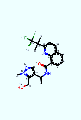 CC(NC(=O)c1cccc2ccc(C(C)(C)C(F)(F)F)nc12)c1cnn(C)c1CO